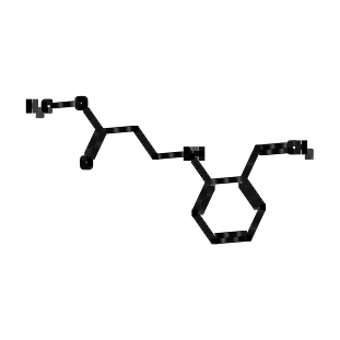 C=Cc1ccccc1NCCC(=O)OC